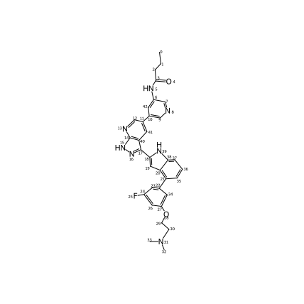 CCCC(=O)Nc1cncc(-c2cnc3[nH]nc(-c4cc5c(-c6cc(F)cc(OCCN(C)C)c6)cccc5[nH]4)c3c2)c1